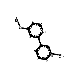 CCOc1ccnc(-c2cccc(N)c2)c1